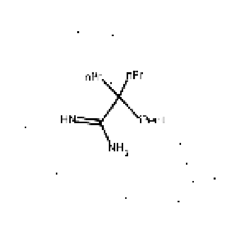 CCCC(C)C(CCC)(CCC)C(=N)N